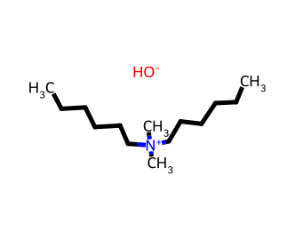 CCCCCC[N+](C)(C)CCCCCC.[OH-]